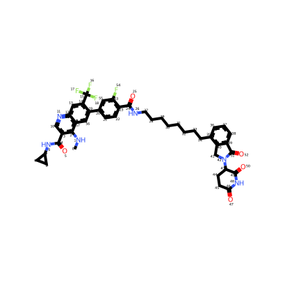 CNc1c(C(=O)NC2CC2)cnc2cc(C(F)(F)F)c(-c3ccc(C(=O)NCCCCCCCCc4cccc5c4CN(C4CCC(=O)NC4=O)C5=O)c(F)c3)cc12